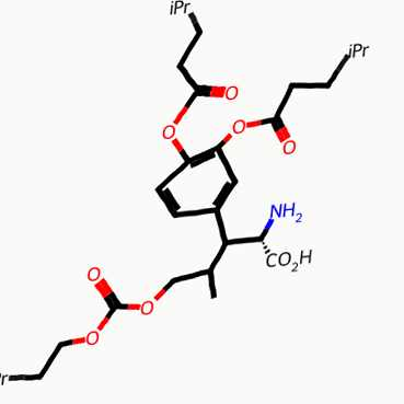 CC(C)CCOC(=O)OCC(C)C(c1ccc(OC(=O)CCC(C)C)c(OC(=O)CCC(C)C)c1)[C@H](N)C(=O)O